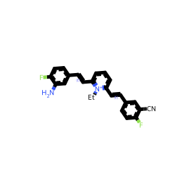 CC[n+]1c(/C=C/c2ccc(F)c(N)c2)cccc1/C=C/c1ccc(F)c(C#N)c1